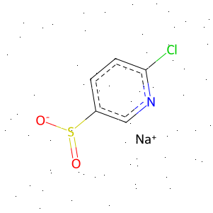 O=S([O-])c1ccc(Cl)nc1.[Na+]